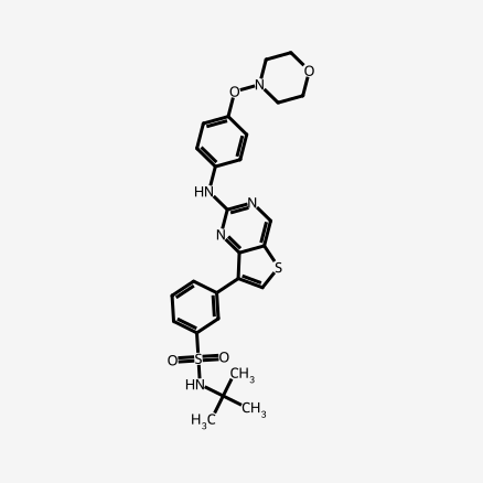 CC(C)(C)NS(=O)(=O)c1cccc(-c2csc3cnc(Nc4ccc(ON5CCOCC5)cc4)nc23)c1